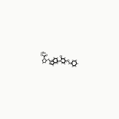 CC(C)(C)OC(=O)N1CCC[C@@H]1Cn1ncc2cc(-n3ccc(OCc4ccccc4)cc3=O)ccc21